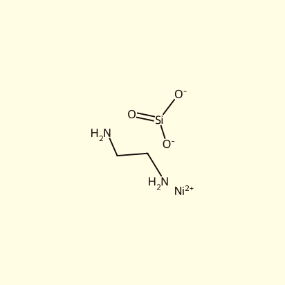 NCCN.O=[Si]([O-])[O-].[Ni+2]